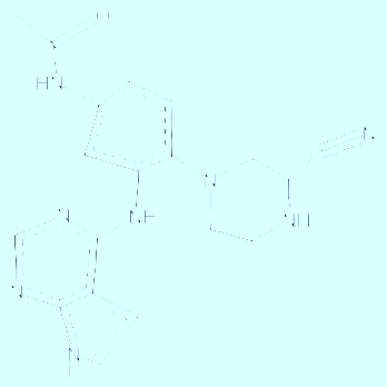 CC(=O)Nc1ccc(N2CCNC(C#N)C2)c(Nc2ncnc3[nH]ccc23)c1